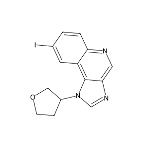 Ic1ccc2ncc3ncn(C4CCOC4)c3c2c1